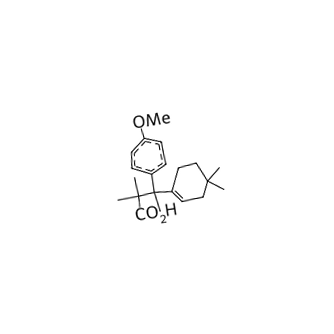 COc1ccc(C(C)(C2=CCC(C)(C)CC2)C(C)(C)C(=O)O)cc1